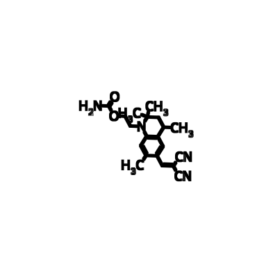 Cc1cc2c(cc1C=C(C#N)C#N)C(C)CC(C)(C)N2CCOC(N)=O